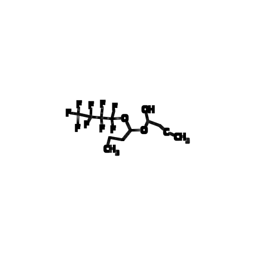 CCCC(O)OC(CCC)OC(F)(F)C(F)(F)C(F)(F)C(F)(F)F